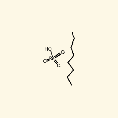 CCCCCCCC.[O]=[Re](=[O])(=[O])[OH]